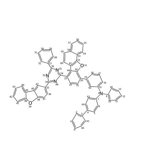 c1ccc(-c2ccc(N(c3ccccc3)c3cccc(-c4ccc(-c5nc(-c6ccccc6)nc(-c6ccc7oc8ccccc8c7c6)n5)c5c4oc4c6ccccc6ccc45)c3)cc2)cc1